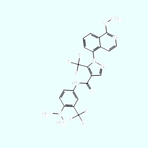 COc1nccc2c(-n3ncc(C(=O)Nc4ccc(P(C)C)c(C(F)(F)F)c4)c3C(F)(F)F)cccc12